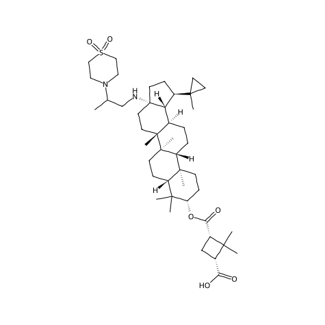 CC(CN[C@]12CC[C@@H](C3(C)CC3)[C@@H]1[C@H]1CC[C@@H]3[C@@]4(C)CC[C@H](OC(=O)[C@H]5C[C@@H](C(=O)O)C5(C)C)C(C)(C)[C@@H]4CC[C@@]3(C)[C@]1(C)CC2)N1CCS(=O)(=O)CC1